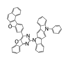 c1ccc(-n2c3ccccc3c3cc4c(cc32)c2ccccc2n4-c2nc(-c3ccc4c(c3)oc3ccc5ccccc5c34)c3oc4ccccc4c3n2)cc1